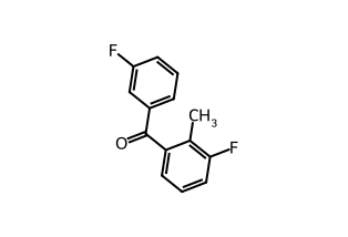 Cc1c(F)cccc1C(=O)c1cccc(F)c1